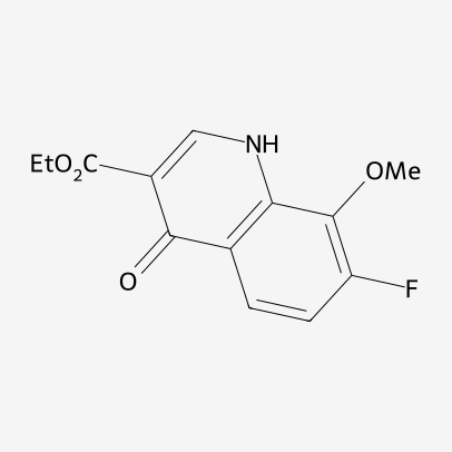 CCOC(=O)c1c[nH]c2c(OC)c(F)ccc2c1=O